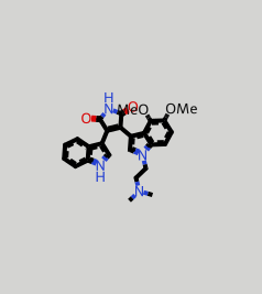 COc1ccc2c(c(C3=C(c4c[nH]c5ccccc45)C(=O)NC3=O)cn2CCN(C)C)c1OC